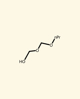 CCCOCOCO